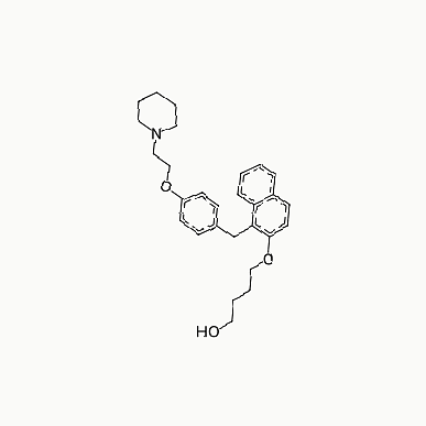 OCCCCOc1ccc2ccccc2c1Cc1ccc(OCCN2CCCCC2)cc1